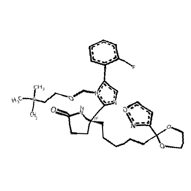 C[Si](C)(C)CCOCn1c(-c2ccccc2F)cnc1[C@]1(CCCCCC2(c3ccon3)OCCO2)CCC(=O)N1